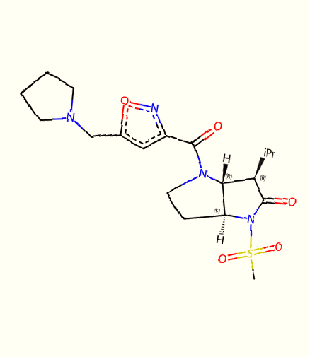 CC(C)[C@H]1C(=O)N(S(C)(=O)=O)[C@H]2CCN(C(=O)c3cc(CN4CCCC4)on3)[C@H]12